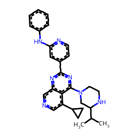 CC(C)C1CN(c2nc(-c3ccnc(Nc4ccccc4)c3)nc3cncc(C4CC4)c23)CCN1